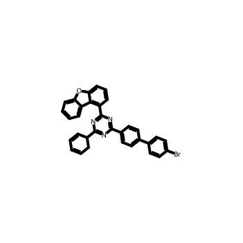 Brc1ccc(-c2ccc(-c3nc(-c4cccc5oc6ccccc6c45)nc(C4C=CC=CC4)n3)cc2)cc1